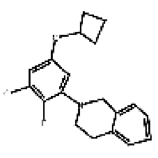 Fc1c(Cl)cc(OC2CCC2)cc1N1CCc2c[c]ccc2C1